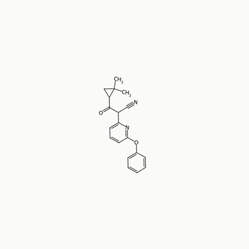 CC1(C)CC1C(=O)C(C#N)c1cccc(Oc2ccccc2)n1